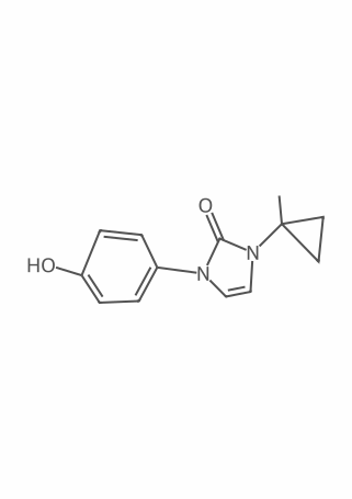 CC1(n2ccn(-c3ccc(O)cc3)c2=O)CC1